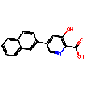 O=C(O)c1ncc(-c2ccc3ccccc3c2)cc1O